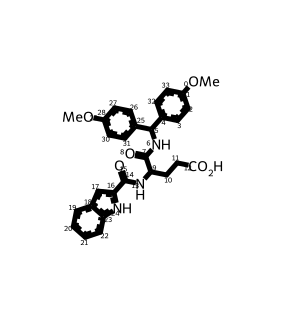 COc1ccc(C(NC(=O)C(CCC(=O)O)NC(=O)c2cc3ccccc3[nH]2)c2ccc(OC)cc2)cc1